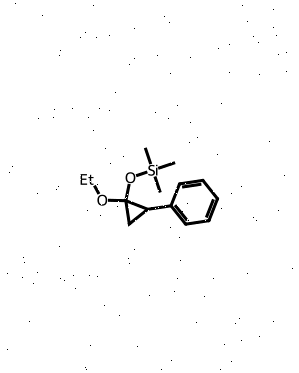 CCOC1(O[Si](C)(C)C)CC1c1ccccc1